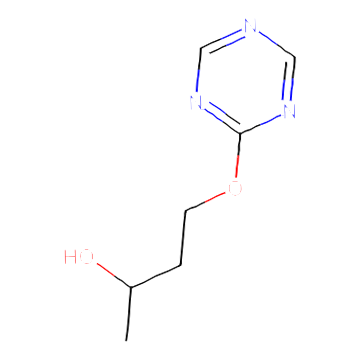 CC(O)CCOc1ncncn1